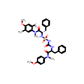 COc1ccc(N(C)C(=O)C(Cc2ccccc2)NC(=O)NS(=O)(=O)N[C@@H](Cc2ccccc2)C(=O)N(C)c2cc(C)c(OC)cc2C)cc1